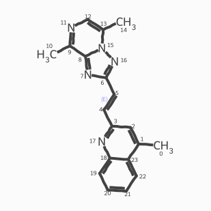 Cc1cc(/C=C/c2nc3c(C)ncc(C)n3n2)nc2ccccc12